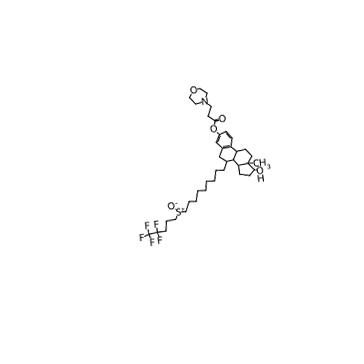 CC12CCC3c4ccc(OC(=O)CCN5CCOCC5)cc4CC(CCCCCCCCC[S+]([O-])CCCC(F)(F)C(F)(F)F)C3C1CCC2O